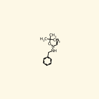 CC(C)(C)ON(C=O)NCc1ccccc1